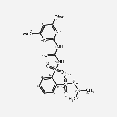 COc1cc(OC)nc(NC(=O)NS(=O)(=O)c2ccccc2S(=O)(=O)NN(C)C)n1